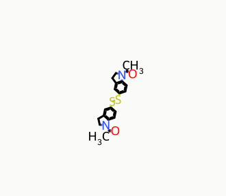 CC(=O)N1CCc2cc(SSc3ccc4c(c3)CCN4C(C)=O)ccc21